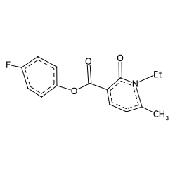 CCn1c(C)ccc(C(=O)Oc2ccc(F)cc2)c1=O